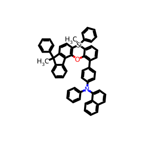 CC1(c2ccccc2)c2ccccc2-c2c1ccc1c2Oc2c(-c3ccc(N(c4ccccc4)c4cccc5ccccc45)cc3)cccc2[Si]1(C)c1ccccc1